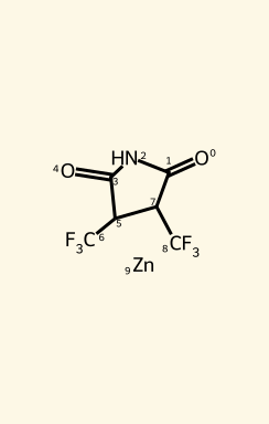 O=C1NC(=O)C(C(F)(F)F)C1C(F)(F)F.[Zn]